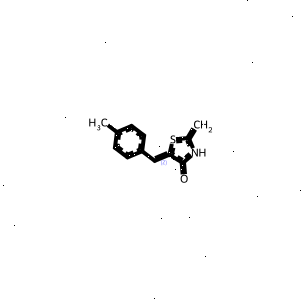 C=c1[nH]c(=O)/c(=C/c2ccc(C)cc2)s1